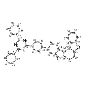 c1ccc(-c2cc(-c3ccc(-c4ccc5c(c4)oc4ccc6oc7ccccc7c6c45)cc3)nc(-c3ccccc3)n2)cc1